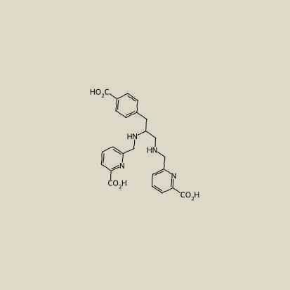 O=C(O)c1ccc(CC(CNCc2cccc(C(=O)O)n2)NCc2cccc(C(=O)O)n2)cc1